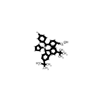 CC(C)(C)c1ccc2c(c1)-c1cc(C(C)(C)C)ccc1[CH]2[Zr]([C]1=CC=CC1)=[C](c1ccc(I)cc1)c1ccc(I)cc1.Cl.Cl